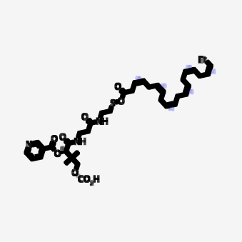 CC/C=C\C/C=C\C/C=C\C/C=C\C/C=C\C/C=C\CC(=O)OSCCNC(=O)CCNC(=O)[C@H](OC(=O)c1cccnc1)C(C)(C)COC(=O)O